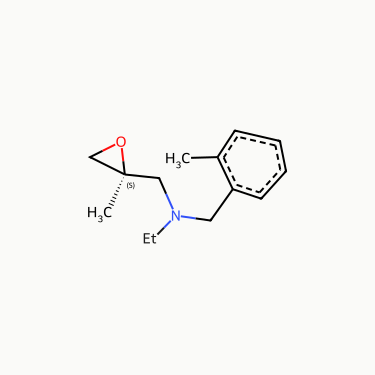 CCN(Cc1ccccc1C)C[C@@]1(C)CO1